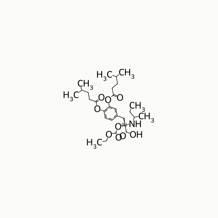 CCOC(=O)O[C@](Cc1ccc(OC(=O)CCC(C)C)c(OC(=O)CCC(C)C)c1)(NC(C)CC)C(=O)O